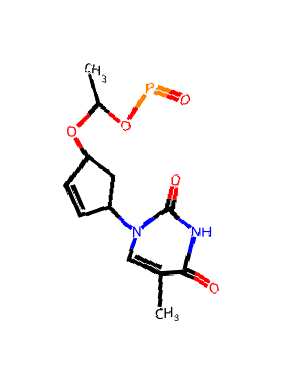 Cc1cn(C2C=CC(OC(C)OP=O)C2)c(=O)[nH]c1=O